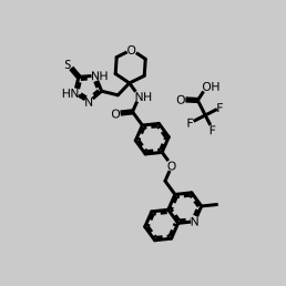 Cc1cc(COc2ccc(C(=O)NC3(Cc4n[nH]c(=S)[nH]4)CCOCC3)cc2)c2ccccc2n1.O=C(O)C(F)(F)F